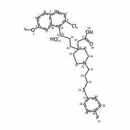 COc1ccc2ncc(Cl)c([C@@H](O)CCC3(CC(=O)O)CCN(CCCSc4ccc(F)cc4)CC3)c2c1